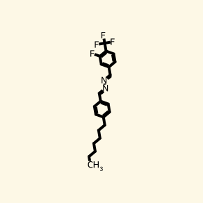 CCCCCCCc1ccc(C=NN=Cc2ccc(C(F)(F)F)c(F)c2)cc1